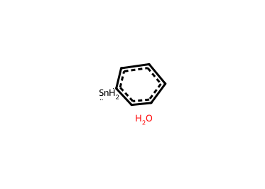 O.[SnH2].[c]1ccccc1